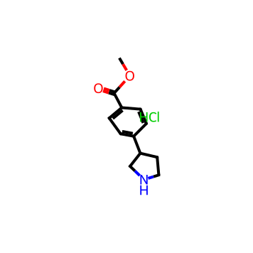 COC(=O)c1ccc(C2CCNC2)cc1.Cl